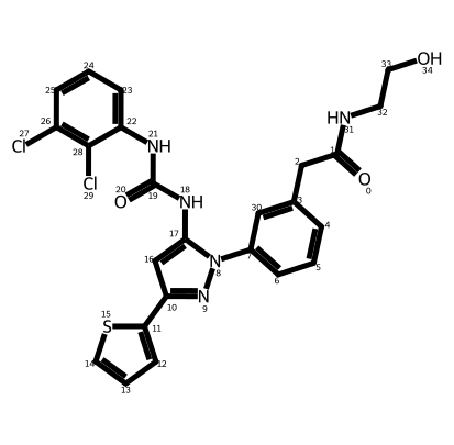 O=C(Cc1cccc(-n2nc(-c3cccs3)cc2NC(=O)Nc2cccc(Cl)c2Cl)c1)NCCO